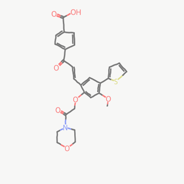 COc1cc(OCC(=O)N2CCOCC2)c(/C=C/C(=O)c2ccc(C(=O)O)cc2)cc1-c1cccs1